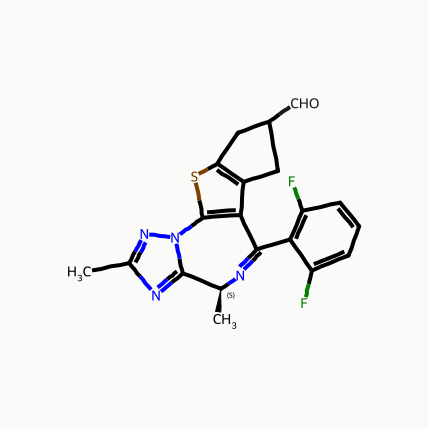 Cc1nc2n(n1)-c1sc3c(c1C(c1c(F)cccc1F)=N[C@H]2C)CC(C=O)C3